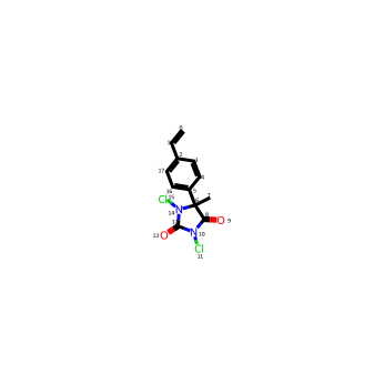 C=Cc1ccc(C2(C)C(=O)N(Cl)C(=O)N2Cl)cc1